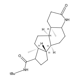 CC(C)(C)NC(=O)C1CC[C@H]2[C@@H]3CCC4NC(=O)CC[C@]4(C)[C@@H]3CC[C@]12C